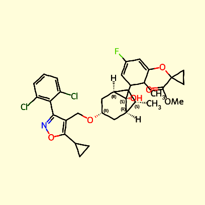 COC(=O)C1(OC2=CC(F)=CC([C@]3(O)[C@H]4C[C@@H](OCc5c(-c6c(Cl)cccc6Cl)noc5C5CC5)C[C@@H]3[C@@H](C)C4)C2C)CC1